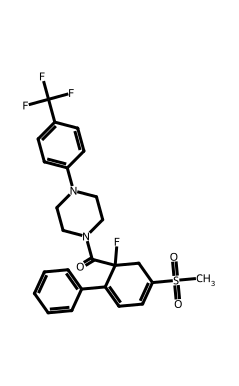 CS(=O)(=O)C1=CC=C(c2ccccc2)C(F)(C(=O)N2CCN(c3ccc(C(F)(F)F)cc3)CC2)C1